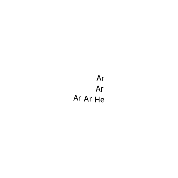 [Ar].[Ar].[Ar].[Ar].[He]